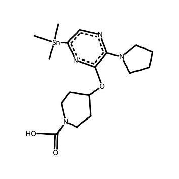 [CH3][Sn]([CH3])([CH3])[c]1cnc(N2CCCC2)c(OC2CCN(C(=O)O)CC2)n1